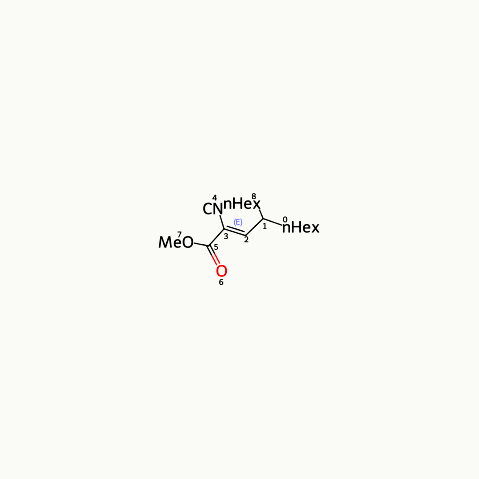 CCCCCCC(/C=C(\C#N)C(=O)OC)CCCCCC